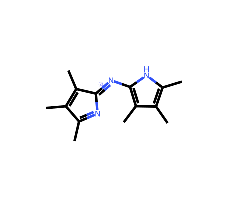 CC1=N/C(=N\c2[nH]c(C)c(C)c2C)C(C)=C1C